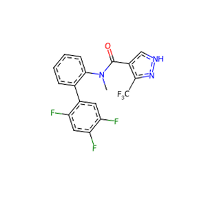 CN(C(=O)c1c[nH]nc1C(F)(F)F)c1ccccc1-c1cc(F)c(F)cc1F